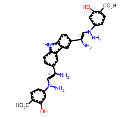 N/C(=C\N(N)c1ccc(C(=O)O)c(O)c1)c1ccc2[nH]c3ccc(/C(N)=C/N(N)c4ccc(C(=O)O)c(O)c4)cc3c2c1